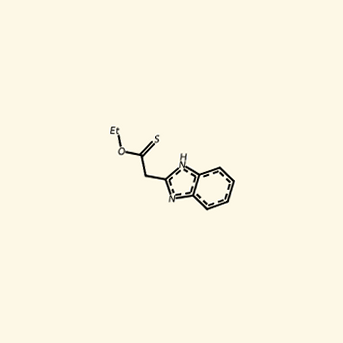 CCOC(=S)Cc1nc2ccccc2[nH]1